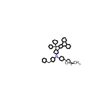 C/C=C\C=C/C(C)c1ccc(N(c2ccc(Cc3ccccc3)cc2)c2ccc3c(c2)-c2cc4c5ccccc5c5ccccc5c4cc2C3(c2ccccc2)c2ccccc2)cc1